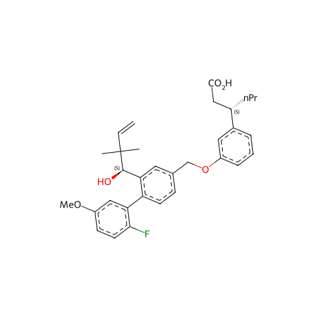 C=CC(C)(C)[C@H](O)c1cc(COc2cccc([C@@H](CCC)CC(=O)O)c2)ccc1-c1cc(OC)ccc1F